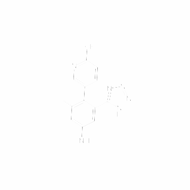 Nc1cc(F)c(-c2ccc(C(F)(F)F)nc2)c(-c2nnn[nH]2)c1